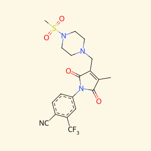 CC1=C(CN2CCN(S(C)(=O)=O)CC2)C(=O)N(c2ccc(C#N)c(C(F)(F)F)c2)C1=O